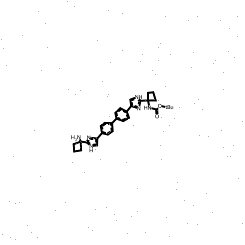 CC(C)(C)OC(=O)NC1(c2nc(-c3ccc(-c4ccc(-c5c[nH]c(C6(N)CCC6)n5)cc4)cc3)c[nH]2)CCC1